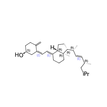 C=C1CC[C@H](O)C/C1=C/C=C1\CCC[C@]2(C)[C@@H]([C@H](C)/C=C/[C@H](C)CC(C)C)CC[C@@H]12